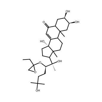 CCC1(O[C@H](CCC(C)(C)O)[C@](C)(O)C2CC[C@@]3(O)C4=CC(=O)C5C[C@@H](O)[C@@H](O)CC5(C)C4CCC23C)CO1